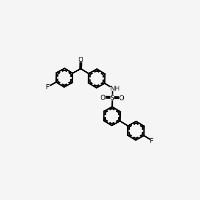 O=C(c1ccc(F)cc1)c1ccc(NS(=O)(=O)c2cccc(-c3ccc(F)cc3)c2)cc1